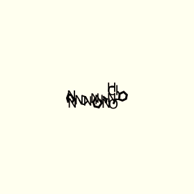 O=C(Nc1cn2nc(N3CCN(c4ncccn4)CC3)ccc2n1)c1ccccc1Cl